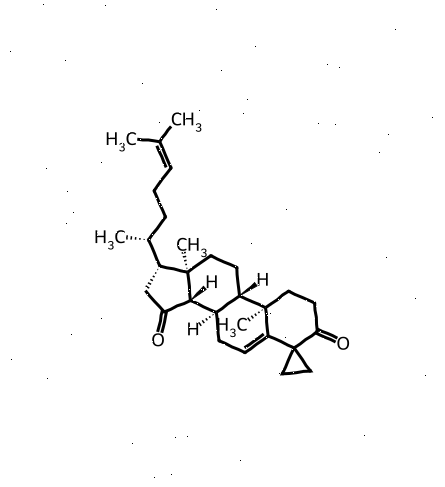 CC(C)=CCC[C@@H](C)[C@H]1CC(=O)[C@H]2[C@@H]3CC=C4C5(CC5)C(=O)CC[C@]4(C)[C@H]3CC[C@]12C